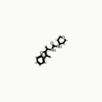 Cc1c(C(C)NC(=O)NC2CCOCC2)oc2ccccc12